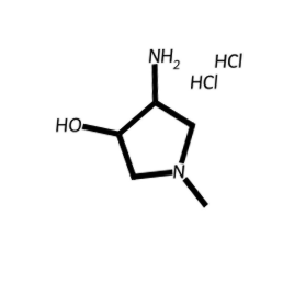 CN1CC(N)C(O)C1.Cl.Cl